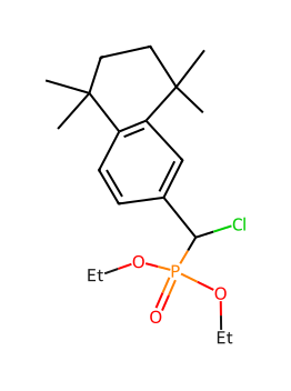 CCOP(=O)(OCC)C(Cl)c1ccc2c(c1)C(C)(C)CCC2(C)C